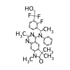 Cc1nc(N(c2ccccc2)[C@H](C)c2cccc(C(F)(F)CO)c2F)c2cc3c(cc2n1)N(C)C(=O)C3(C)C